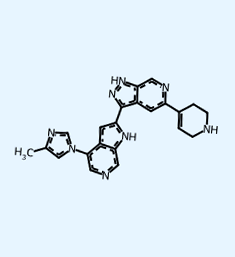 Cc1cn(-c2cncc3[nH]c(-c4n[nH]c5cnc(C6=CCNCC6)cc45)cc23)cn1